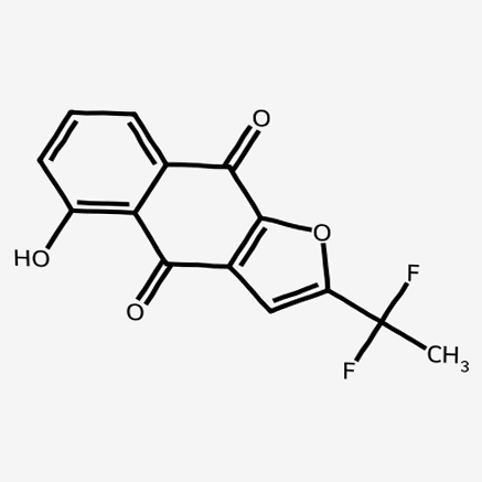 CC(F)(F)c1cc2c(o1)C(=O)c1cccc(O)c1C2=O